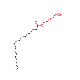 CCCCCCCC/C=C\CCCCCCCC(=O)OCCOCCO